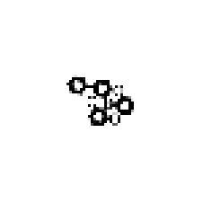 c1ccc(-c2ccc3c4c2Oc2cccc5c2B4c2c(cccc2O3)O5)cc1